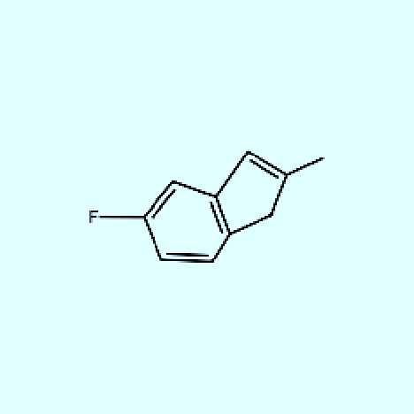 CC1=Cc2cc(F)ccc2C1